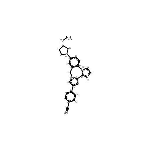 N#Cc1ccc(-c2cc3n(c2)Cc2cc(N4CC[C@H](CN)C4)ccc2-n2ccnc2-3)cc1